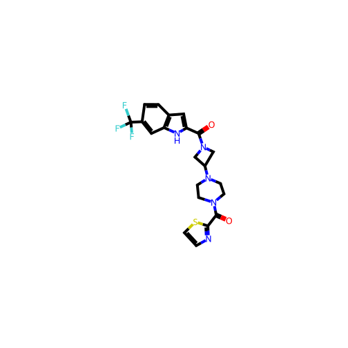 O=C(c1cc2ccc(C(F)(F)F)cc2[nH]1)N1CC(N2CCN(C(=O)c3nccs3)CC2)C1